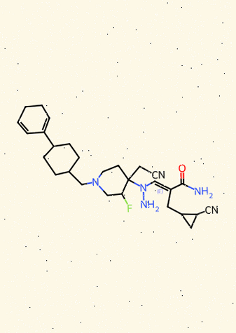 N#CCC1(N(N)/C=C(\CC2CC2C#N)C(N)=O)CCN(CC2CCC(C3=CCCC=C3)CC2)CC1F